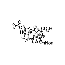 C=C(C)C(=O)OCC(O)COC(=O)C(C)(CC(C)(CC)C(=O)O)CC(C)(CC(C)N1CCCC1=O)C(=O)OCCCCCCCCC